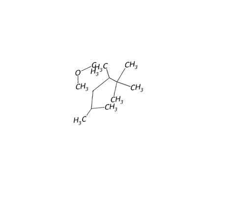 CC(C)CC(C)C(C)(C)C.COC